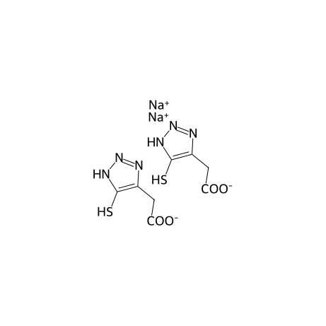 O=C([O-])Cc1nn[nH]c1S.O=C([O-])Cc1nn[nH]c1S.[Na+].[Na+]